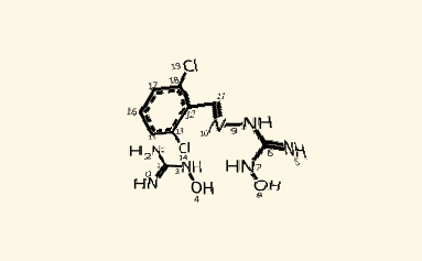 N=C(N)NO.N=C(NO)N/N=C/c1c(Cl)cccc1Cl